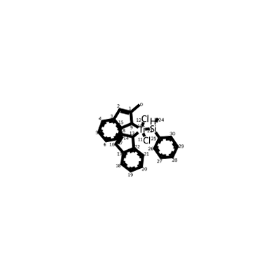 CC1=Cc2ccccc2[CH]1[Ti]([Cl])([Cl])([CH]1C(C)=Cc2ccccc21)[SiH](C)c1ccccc1